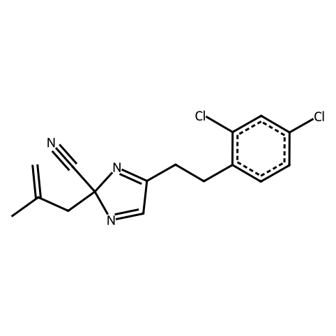 C=C(C)CC1(C#N)N=CC(CCc2ccc(Cl)cc2Cl)=N1